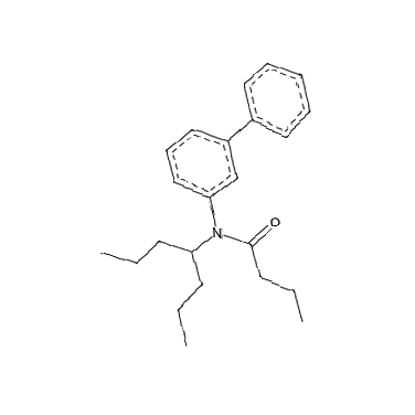 CCCC(=O)N(c1cccc(-c2ccccc2)c1)C(CCC)CCC